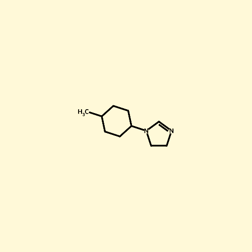 CC1CCC(N2C=NCC2)CC1